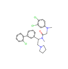 CN(CC(=O)N(C)C(CN1CCCC1)c1cccc(-c2ccccc2Cl)c1)c1ccc(Cl)c(Cl)c1